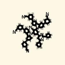 N#Cc1cccc(-c2ccc3c(c2)c2cc(-c4cccc(C#N)c4)ccc2n3-c2cc(-c3cc(-c4ccccc4)nc(-c4ccccc4)n3)cc(-n3c4ccc(-c5cccc(C#N)c5)cc4c4cc(-c5cccc(C#N)c5)ccc43)c2C#N)c1